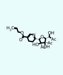 C=CCOC(=O)C1=CN=C([C@@H]2O[C@H](C(O)C(C)=O)[C@](O)(C(C)=O)[C@]2(O)C(C)=O)CC1